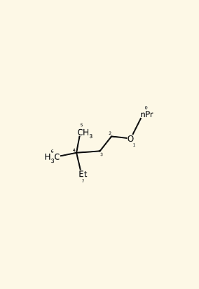 CCCOCCC(C)(C)CC